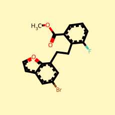 COC(=O)c1cccc(F)c1CCc1cc(Br)cc2ccoc12